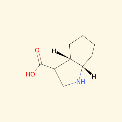 O=C(O)C1CN[C@H]2CCCC[C@@H]12